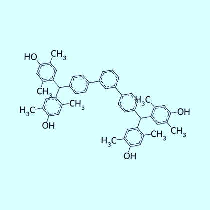 Cc1cc(C(c2ccc(-c3cccc(-c4ccc(C(c5cc(C)c(O)cc5C)c5cc(C)c(O)cc5C)cc4)c3)cc2)c2cc(C)c(O)cc2C)c(C)cc1O